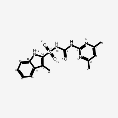 Cc1cc(C)nc(NC(=O)NS(=O)(=O)c2[nH]c3ccccc3c2C)n1